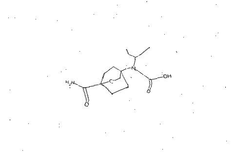 CC(C)N(C(=O)O)C12CCC(C(N)=O)(CC1)CC2